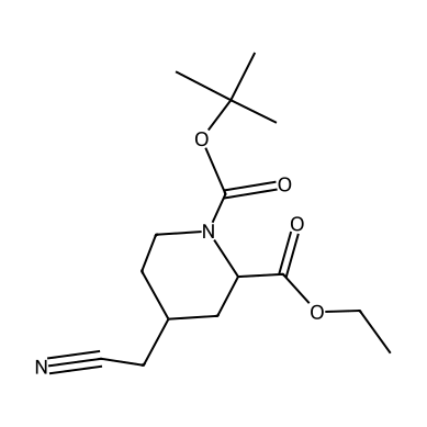 CCOC(=O)C1CC(CC#N)CCN1C(=O)OC(C)(C)C